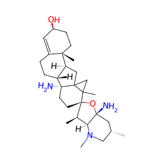 C[C@@H]1CN(C)[C@H]2[C@@H](C)[C@@]3(CC[C@@]4(N)[C@@H]5CCC6=C[C@@H](O)CC[C@]6(C)[C@H]5CC45CC53C)O[C@]2(N)C1